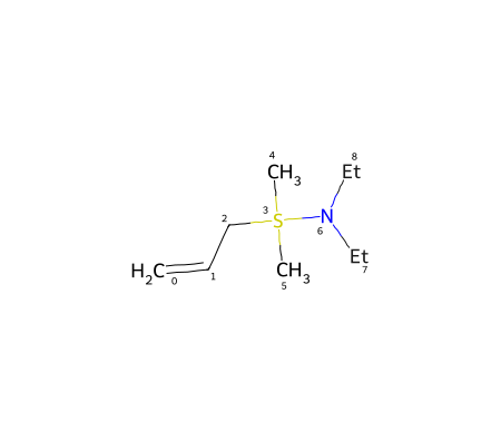 C=CCS(C)(C)N(CC)CC